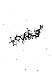 CC(=O)N[C@H]1CCCN(C(=O)c2nnc(-c3cnc(-c4ccc5cc(C#N)cnn45)cc3NC(C)C)s2)C1